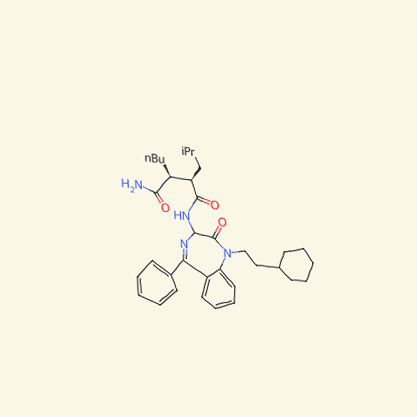 CCCC[C@H](C(N)=O)[C@@H](CC(C)C)C(=O)NC1N=C(c2ccccc2)c2ccccc2N(CCC2CCCCC2)C1=O